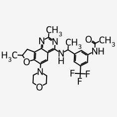 CC(=O)Nc1cc(C(C)Nc2nc(C)nc3c4c(c(N5CCOCC5)cc23)OC(C)C4)cc(C(F)(F)F)c1